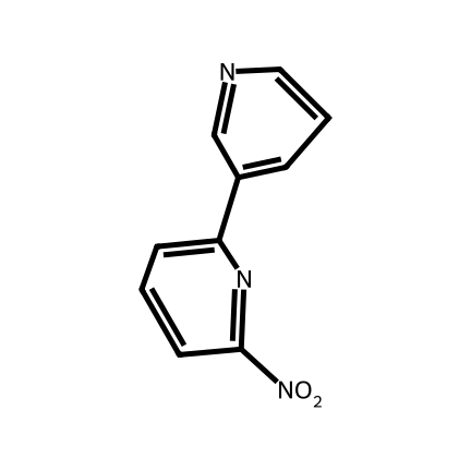 O=[N+]([O-])c1cccc(-c2cccnc2)n1